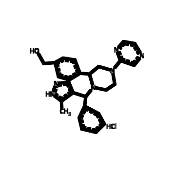 Cc1[nH]ncc1C(c1ccccc1)N1CCN(c2cnccn2)CC1c1ccc(CO)cc1.Cl